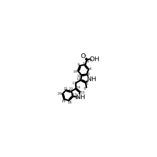 Cc1[nH]c2cc(C(=O)O)ccc2c1Cc1c[nH]c2ccccc12